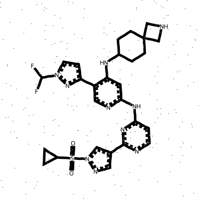 O=S(=O)(C1CC1)n1cc(-c2nccc(Nc3cc(NC4CCC5(CC4)CNC5)c(-c4ccn(C(F)F)n4)cn3)n2)cn1